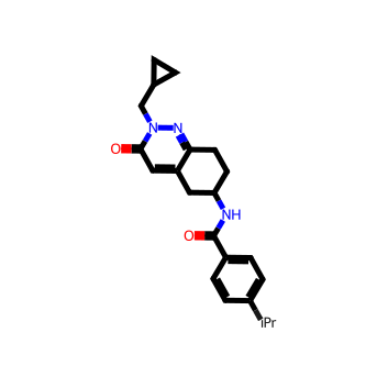 CC(C)c1ccc(C(=O)NC2CCc3nn(CC4CC4)c(=O)cc3C2)cc1